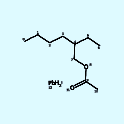 CCCCC(CC)COC(C)=O.[PbH2]